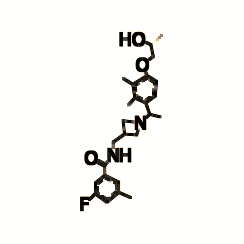 Cc1cc(F)cc(C(=O)NCC2CN(C(C)c3ccc(OC[C@@H](C)O)c(C)c3C)C2)c1